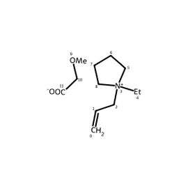 C=CC[N+]1(CC)CCCC1.COCC(=O)[O-]